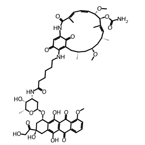 COc1cccc2c1C(=O)c1c(O)c3c(c(O)c1C2=O)C[C@](O)(C(=O)CO)C[C@H]3O[C@@H]1C[C@@H](NC(=O)CCCCCNC2=C3C[C@@H](C)C[C@H](OC)C[C@@H](C)/C=C(\C)[C@H](OC(N)=O)[C@@H](OC)/C=C\C=C(/C)C(=O)NC(=CC2=O)C3=O)[C@@H](O)[C@@H](C)O1